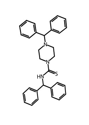 S=C(NC(c1ccccc1)c1ccccc1)N1CCN(C(c2ccccc2)c2ccccc2)CC1